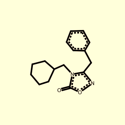 O=c1onc(Cc2ccccc2)n1CC1CCCCC1